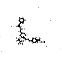 O=C(NO)c1ccc(CCCN2CCC(CNC3CC3c3cccnc3)CC2)cc1.O=C(O)C(F)(F)F